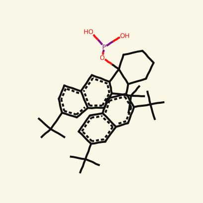 CC(C)(C)c1ccc2cc(C3CCCCC3(OP(O)O)c3cc4ccc(C(C)(C)C)cc4cc3C(C)(C)C)c(C(C)(C)C)cc2c1